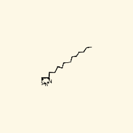 CCCCCCCCCCCCc1csnn1